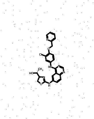 C[C@@H](O)C1COC(Nc2ccc3ncnc(Nc4ccc(OCc5ccccn5)c(Cl)c4)c3c2)=N1